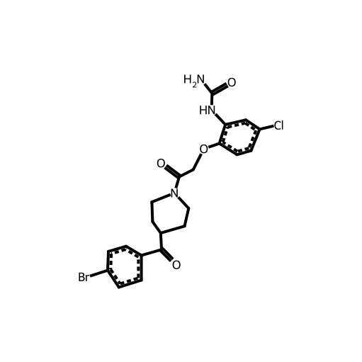 NC(=O)Nc1cc(Cl)ccc1OCC(=O)N1CCC(C(=O)c2ccc(Br)cc2)CC1